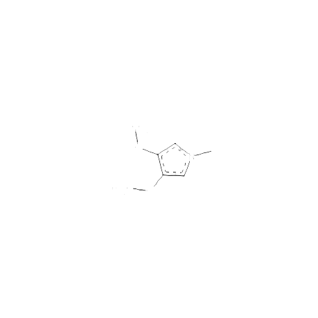 CCOC(=O)Oc1cn(C)cc1OC(=O)O